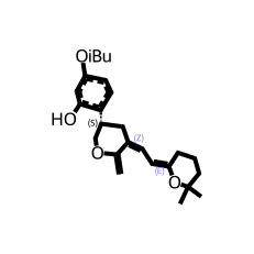 C=C1OC[C@H](c2ccc(OCC(C)C)cc2O)C/C1=C/C=C1\CCCC(C)(C)O1